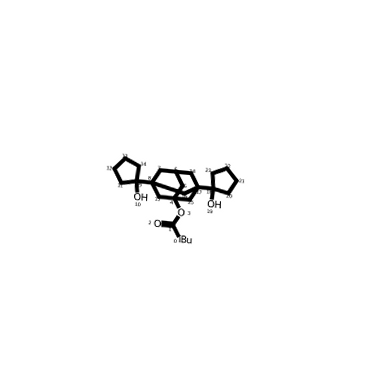 CCC(C)C(=O)OC12CC3CC(C4(O)CCCC4)(C1)CC(C1(O)CCCC1)(C3)C2